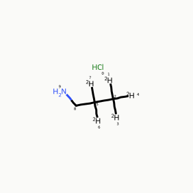 Cl.[2H]C([2H])([2H])C([2H])([2H])CN